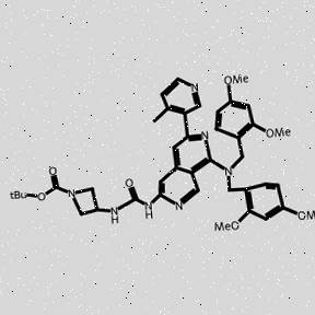 COc1ccc(CN(Cc2ccc(OC)cc2OC)c2nc(-c3cnccc3C)cc3cc(NC(=O)NC4CN(C(=O)OC(C)(C)C)C4)ncc23)c(OC)c1